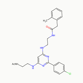 CC(=O)NCCNc1cc(NCCNC(=O)Cc2ccccc2C)nc(-c2ccc(Cl)cc2)n1